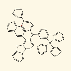 c1ccc(-c2ccc(N(c3ccc4c(c3)C(c3ccccc3)(c3ccccc3)c3ccccc3-4)c3ccc4c(sc5ccccc54)c3-c3ccc4ccccc4c3)cc2)cc1